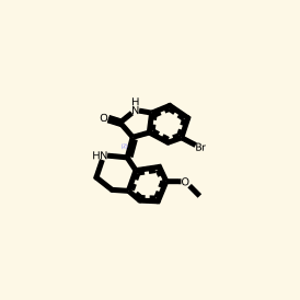 COc1ccc2c(c1)/C(=C1/C(=O)Nc3ccc(Br)cc31)NCC2